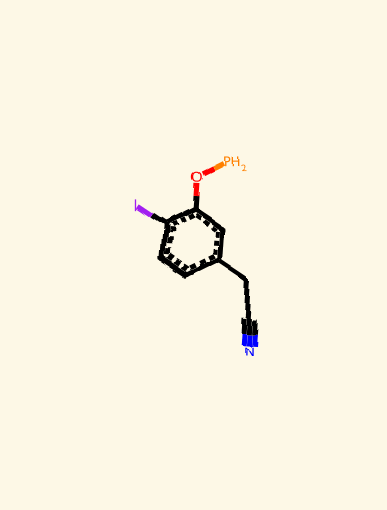 N#CCc1ccc(I)c(OP)c1